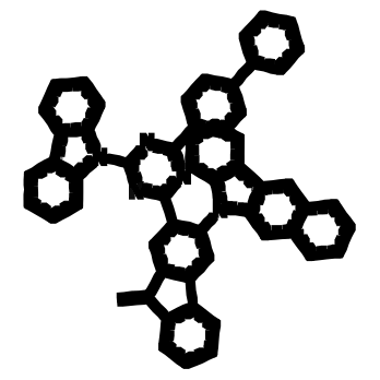 C=C1c2ccccc2-c2cc(-n3c4ccccc4c4cc5ccccc5cc43)c(-c3nc(-c4ccc(-c5ccccc5)cc4)nc(-n4c5ccccc5c5ccccc54)n3)cc21